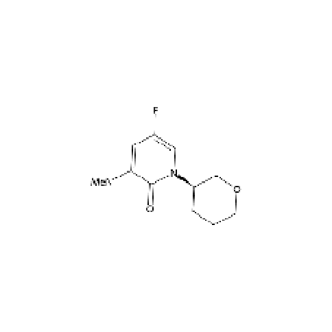 CNc1cc(F)cn([C@@H]2CCCOC2)c1=O